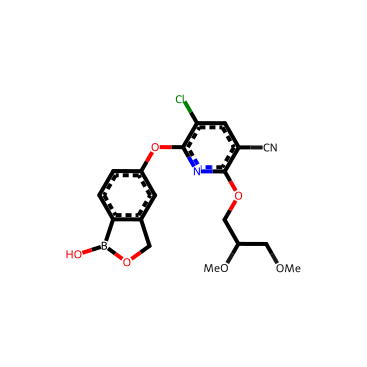 COCC(COc1nc(Oc2ccc3c(c2)COB3O)c(Cl)cc1C#N)OC